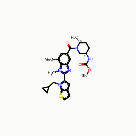 COc1cc(C(=O)N2C[C@H](NC(=O)OC(C)(C)C)CC[C@H]2C)cc2nc(-c3cc4ccsc4n3CC3CC3)n(C)c12